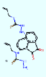 C=CCNC(=S)NN.C=CCNC(=S)NN.O=C1C(=O)c2cccc3cccc1c23.[Zn]